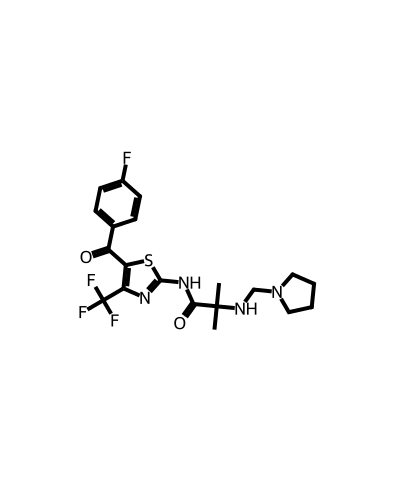 CC(C)(NCN1CCCC1)C(=O)Nc1nc(C(F)(F)F)c(C(=O)c2ccc(F)cc2)s1